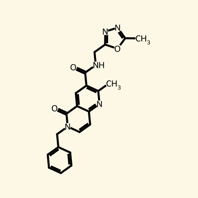 Cc1nnc(CNC(=O)c2cc3c(=O)n(Cc4ccccc4)ccc3nc2C)o1